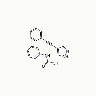 C(#Cc1cn[nH]c1)c1ccccc1.O=C(O)Nc1ccccc1